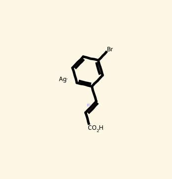 O=C(O)/C=C/c1cccc(Br)c1.[Ag]